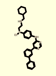 CCN(CCNCC1CCCCC1)c1ccc(Nc2cc(-c3cccc(-c4ccccc4)c3)ncn2)cc1